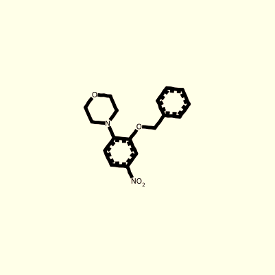 O=[N+]([O-])c1ccc(N2CCOCC2)c(OCc2ccccc2)c1